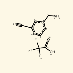 N#Cc1cc(CN)ccn1.O=C(O)C(F)(F)F